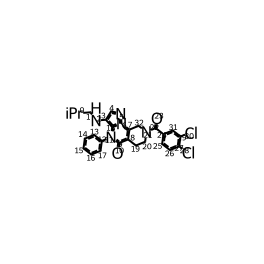 CC(C)CNc1cnn2c3c(c(=O)n(-c4ccccc4)c12)CCN(C(=O)c1ccc(Cl)c(Cl)c1)C3